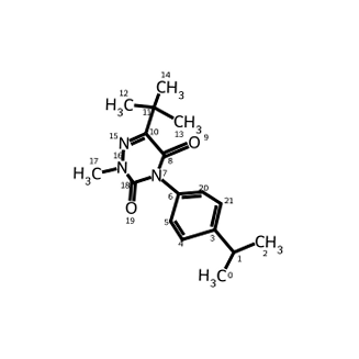 CC(C)c1ccc(-n2c(=O)c(C(C)(C)C)nn(C)c2=O)cc1